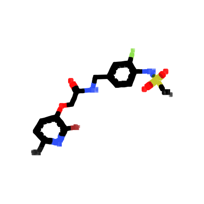 CC(C)(C)c1ccc(OCC(=O)NCc2ccc(NS(C)(=O)=O)c(F)c2)c(Br)n1